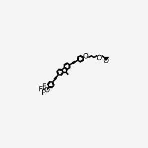 CC1c2cc(C#Cc3ccc(OCCCCOCC4CO4)cc3)ccc2-c2ccc(C#Cc3ccc(OC(F)(F)F)cc3)cc21